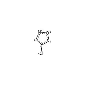 Clc1[c]onc1